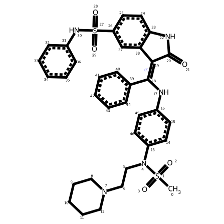 CS(=O)(=O)N(CCN1CCCCC1)c1ccc(N/C(=C2\C(=O)Nc3ccc(S(=O)(=O)Nc4ccccc4)cc32)c2ccccc2)cc1